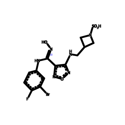 O=S(=O)(O)N1CC(CNc2nonc2/C(=N/O)Nc2ccc(F)c(Br)c2)C1